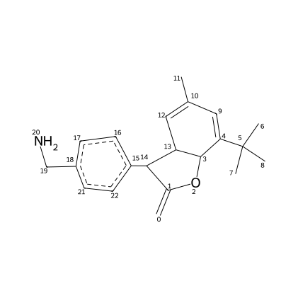 C=C1OC2C(C(C)(C)C)=CC(C)=CC2C1c1ccc(CN)cc1